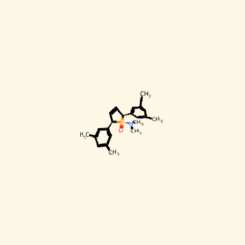 Cc1cc(C)cc([C@H]2C=C[C@@H](c3cc(C)cc(C)c3)[P@@]2(=O)N(C)C)c1